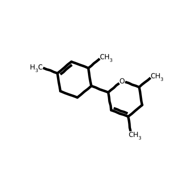 CC1=CC(C)C(C2C=C(C)CC(C)O2)CC1